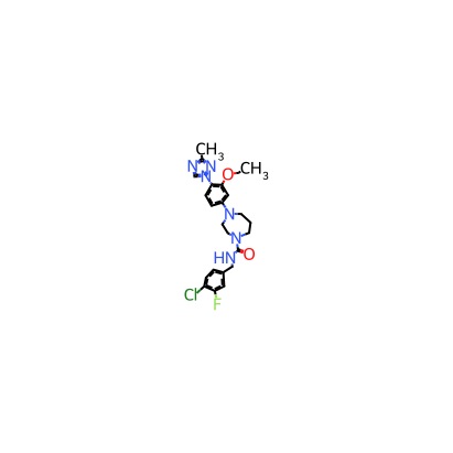 CCOc1cc(N2CCCN(C(=O)NCc3ccc(Cl)c(F)c3)CC2)ccc1-n1cnc(C)n1